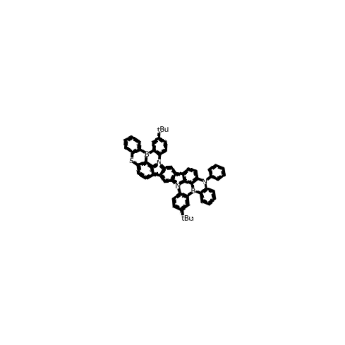 CC(C)(C)c1ccc2c(c1)B1c3ccccc3Sc3ccc4c5cc6c(cc5n-2c4c31)c1ccc2c3c1n6-c1ccc(C(C)(C)C)cc1B3c1ccccc1N2c1ccccc1